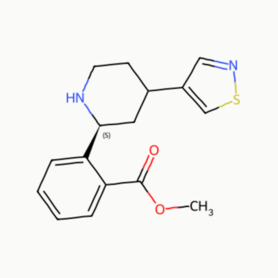 COC(=O)c1ccccc1[C@@H]1CC(c2cnsc2)CCN1